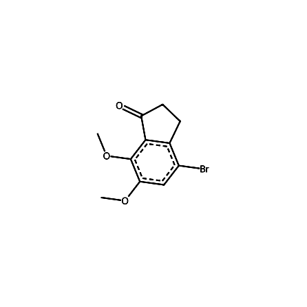 COc1cc(Br)c2c(c1OC)C(=O)CC2